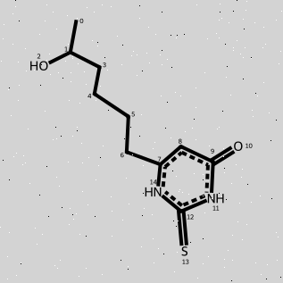 CC(O)CCCCc1cc(=O)[nH]c(=S)[nH]1